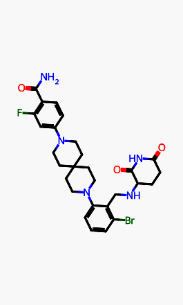 NC(=O)c1ccc(N2CCC3(CC2)CCN(c2cccc(Br)c2CNC2CCC(=O)NC2=O)CC3)cc1F